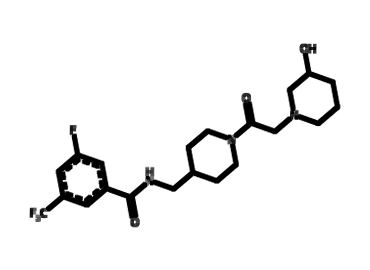 O=C(NCC1CCN(C(=O)CN2CCCC(O)C2)CC1)c1cc(F)cc(C(F)(F)F)c1